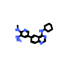 CNc1ncc(-c2ccc3ncnc(NC4CCCCC4)c3c2)cc1NN